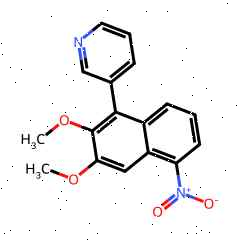 COc1cc2c([N+](=O)[O-])cccc2c(-c2cccnc2)c1OC